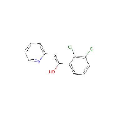 OC(=Cc1ccccn1)c1cccc(Cl)c1Cl